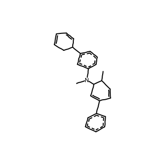 CC1C=CC(c2ccccc2)=CC1N(C)c1cccc(C2C=CC=CC2)c1